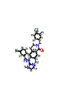 Cc1cc(CN2CCc3c(cc(Cn4ccn(C)c4=N)cc3-c3ccc(F)cc3C)C2=O)ccc1Cl